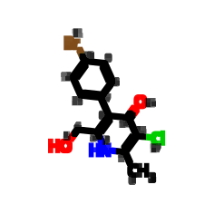 Cc1[nH]c(CO)c(-c2ccc(Br)cc2)c(=O)c1Cl